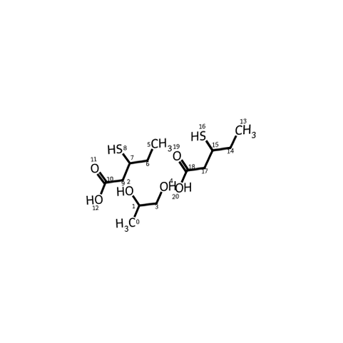 CC(O)CO.CCC(S)CC(=O)O.CCC(S)CC(=O)O